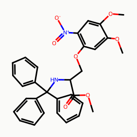 COC(=O)C(COc1cc(OC)c(OC)cc1[N+](=O)[O-])NC(c1ccccc1)(c1ccccc1)c1ccccc1